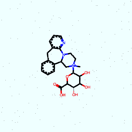 C[N+]1(C2OC(C(=O)O)[C@@H](O)C(O)C2O)CCN2c3ncccc3Cc3ccccc3C2C1